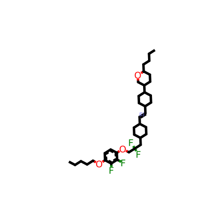 CCCCCOc1ccc(OCC(F)(F)CC2CCC(/C=C/C3CCC(C4CCC(CCCC)OC4)CC3)CC2)c(F)c1F